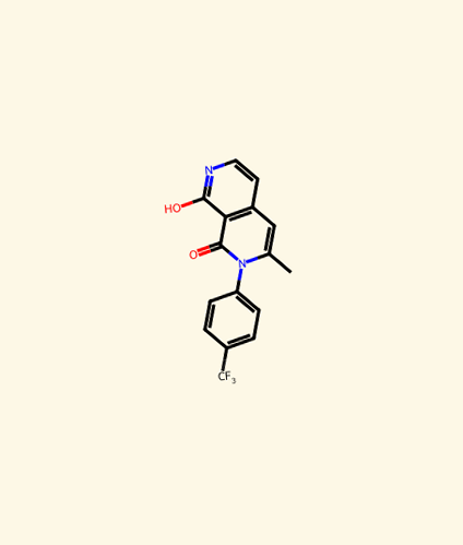 Cc1cc2ccnc(O)c2c(=O)n1-c1ccc(C(F)(F)F)cc1